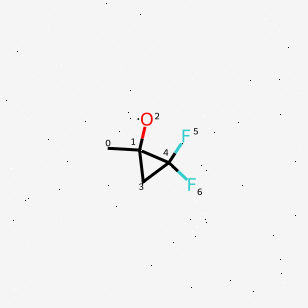 CC1([O])CC1(F)F